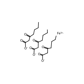 CCCCC(=O)CC(=O)[O-].CCCCC(=O)CC(=O)[O-].CCCCC(=O)CC(=O)[O-].[Fe+3]